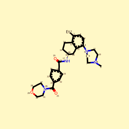 CCc1ccc(N2CCN(C)CC2)c2c1CC[C@@H](NC(=O)c1ccc(C(=O)N3CCOCC3)cc1)C2